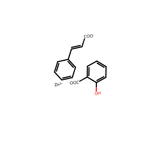 O=C([O-])/C=C/c1ccccc1.O=C([O-])c1ccccc1O.[Zn+2]